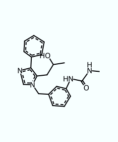 CNC(=O)Nc1cccc(Cn2cnc(-c3ccccc3)c2CC(C)O)c1